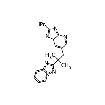 CC(C)C1=NC2C=C(CC(C)(C)c3nc4ccccn4n3)C=NC2=N1